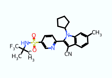 Cc1ccc2c(C#N)c(-c3ccc(S(=O)(=O)NC(C)(C)C(F)(F)F)cn3)n(C3CCCC3)c2c1